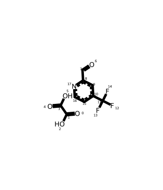 O=C(O)C(=O)O.O=Cc1cc(C(F)(F)F)ccn1